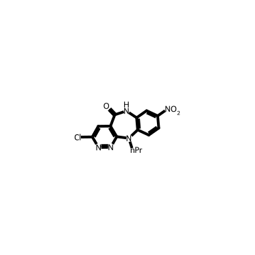 CCCN1c2ccc([N+](=O)[O-])cc2NC(=O)c2cc(Cl)nnc21